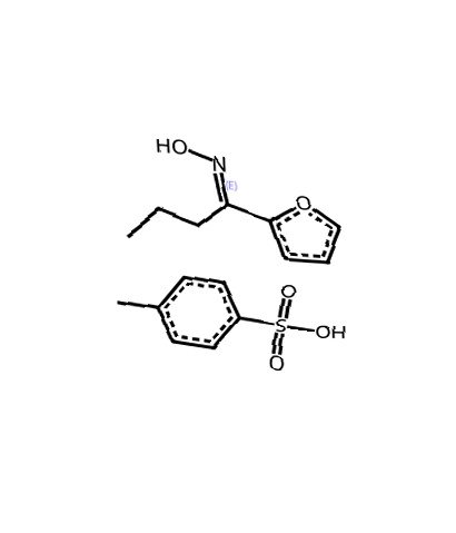 CCC/C(=N\O)c1ccco1.Cc1ccc(S(=O)(=O)O)cc1